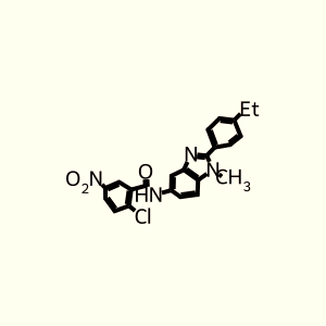 CCc1ccc(-c2nc3cc(NC(=O)c4cc([N+](=O)[O-])ccc4Cl)ccc3n2C)cc1